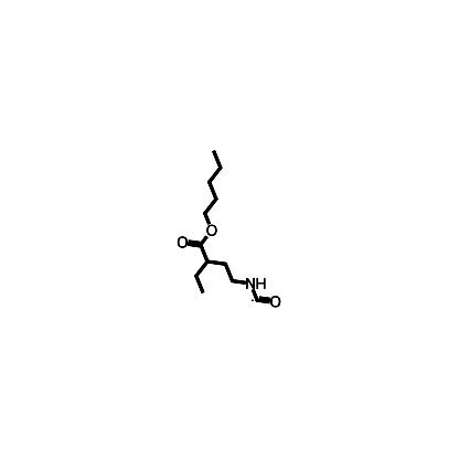 CCCCCOC(=O)C(CC)CCN[C]=O